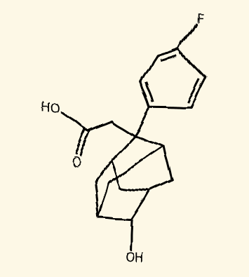 O=C(O)CC1(c2ccc(F)cc2)C2CC3CC1CC(C2)C3O